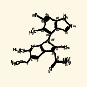 Cc1nc2c(cc1CO)c(C(N)=O)c(N)n2-c1c(C)c(F)cc2[nH]ncc12